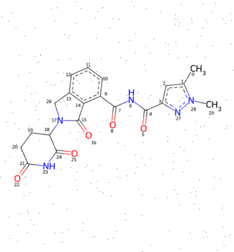 Cc1cc(C(=O)NC(=O)c2cccc3c2C(=O)N(C2CCC(=O)NC2=O)C3)nn1C